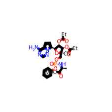 CCC(=O)O[C@H]1[C@H](c2ccc3c(N)ncnn23)O[C@](C#N)(CO[P@@](=O)(N[C@@H](C)C(=O)OC)Oc2ccccc2)[C@H]1OC(=O)CC